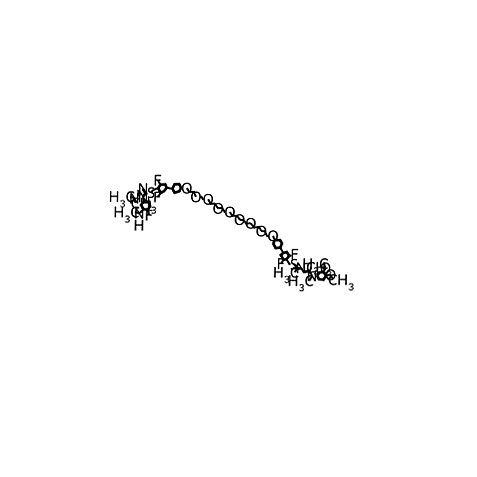 CNc1cc(-n2c(N(C)C)cnc2SCc2c(F)cc(-c3ccc(OCCOCCOCCOCCOCCOCCOCCOCCOc4ccc(-c5cc(F)c(CS/C(C)=N/C=C(\C)N(C)c6ccc(OC)c(OC)c6)c(F)c5)cc4)cc3)cc2F)ccc1F